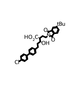 CC(C)(C)c1ccc2c(c1)C(=O)N(CC[C@@H](C(=O)O)[C@H](O)CCc1ccc(-c3ccc(Cl)cc3)cc1)C2=O